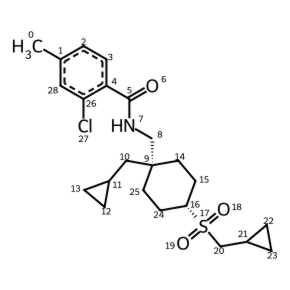 Cc1ccc(C(=O)NC[C@]2(CC3CC3)CC[C@H](S(=O)(=O)CC3CC3)CC2)c(Cl)c1